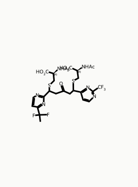 CC(=O)N[C@@H](CSC(CC(=O)CC(SC[C@H](NC(C)=O)C(=O)O)c1nccc(C(C)(F)F)n1)c1ccnc(C(F)(F)F)n1)C(=O)O